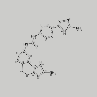 Nc1ncc(-c2ccc(NC(=O)Nc3ccc4c(c3)-c3[nH]c(N)nc3CC4)cc2)[nH]1